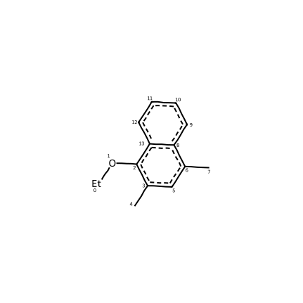 [CH2]COc1c(C)cc(C)c2ccccc12